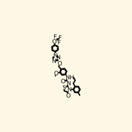 CCCc1ccc(C)cc1N1C(=O)CS/C1=N\C(=O)Nc1ccc(COc2ncn(-c3ccc(OC(F)(F)F)cc3)n2)c(OC)c1